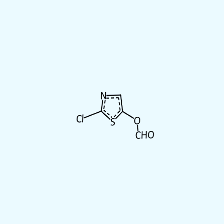 O=COc1cnc(Cl)s1